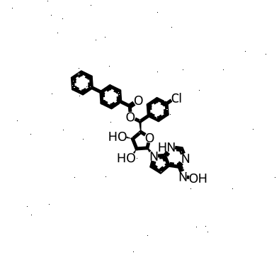 O=C(OC(c1ccc(Cl)cc1)[C@H]1O[C@@H](n2ccc3c(=NO)nc[nH]c32)[C@H](O)[C@@H]1O)c1ccc(-c2ccccc2)cc1